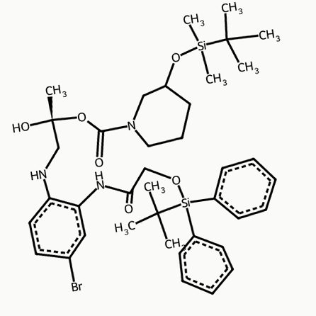 CC(C)(C)[Si](C)(C)OC1CCCN(C(=O)O[C@@](C)(O)CNc2ccc(Br)cc2NC(=O)CO[Si](c2ccccc2)(c2ccccc2)C(C)(C)C)C1